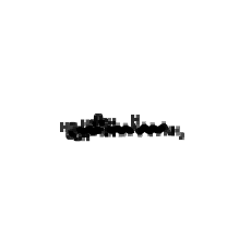 NCCCCCCNCCCCCCNC(CCCCP(=O)(O)O)P(=O)(O)O